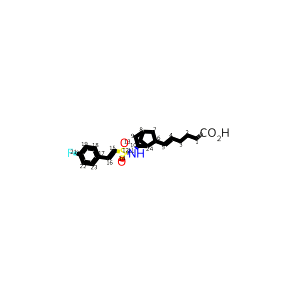 O=C(O)CCC/C=C/C1CC2CC(NS(=O)(=O)/C=C/c3ccc(F)cc3)C1C2